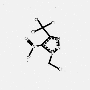 CCn1nnc(C(Cl)(Cl)Cl)c1[N+](=O)[O-]